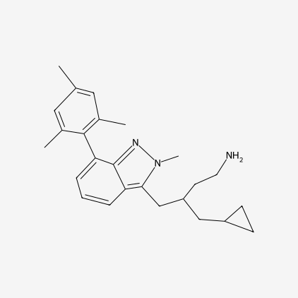 Cc1cc(C)c(-c2cccc3c(CC(CCN)CC4CC4)n(C)nc23)c(C)c1